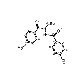 Cc1ccc(C(=O)N(NC(=O)c2ccc(Cl)cc2)C(C)(C)C)cc1